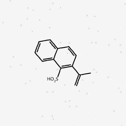 C=C(C)c1ccc2ccccc2c1S(=O)(=O)O